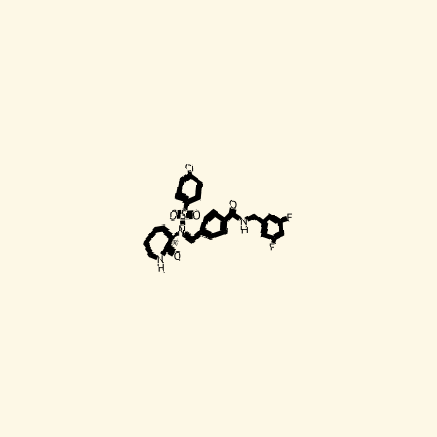 O=C(NCc1cc(F)cc(F)c1)c1ccc(CN([C@@H]2CCCCNC2=O)S(=O)(=O)c2ccc(Cl)cc2)cc1